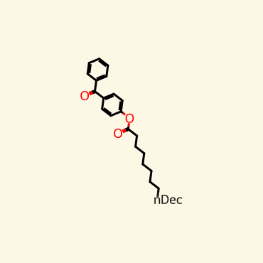 CCCCCCCCCCCCCCCCCC(=O)Oc1ccc(C(=O)c2ccccc2)cc1